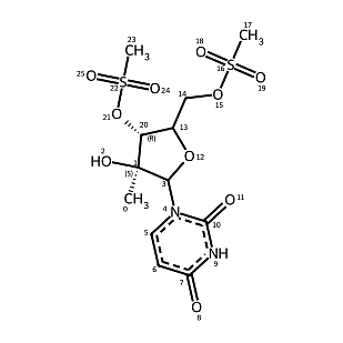 C[C@@]1(O)C(n2ccc(=O)[nH]c2=O)OC(COS(C)(=O)=O)[C@H]1OS(C)(=O)=O